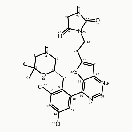 CC1(C)CNC[C@H](Cc2c(Cl)cc(Cl)cc2-c2ncnc3cc(CCN4C(=O)CNC4=O)sc23)O1